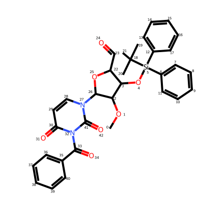 COC1C(O[Si](c2ccccc2)(c2ccccc2)C(C)(C)C)C(C=O)OC1n1ccc(=O)n(C(=O)c2ccccc2)c1=O